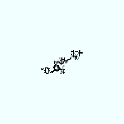 CN1CCN(Cc2cc(C(=O)N(C)C)c3c(c2)nc(N)n3CCCCCNC(=O)OC(C)(C)C)CC1